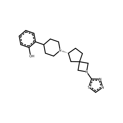 Oc1ccccc1C1CCN([C@@H]2CCC3(C2)CN(c2nncs2)C3)CC1